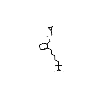 CN(O)C(=O)C(C)(C)CCCCCC1C2CCC(O2)C1C[S+]([O-])CC1CC1